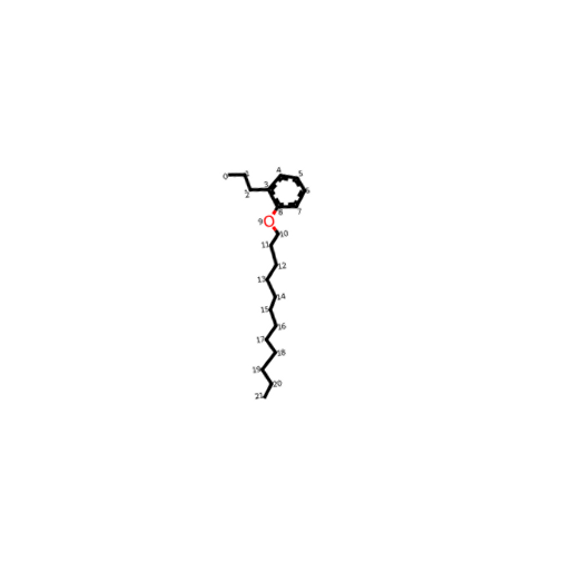 CC[CH]c1ccccc1OCCCCCCCCCCCC